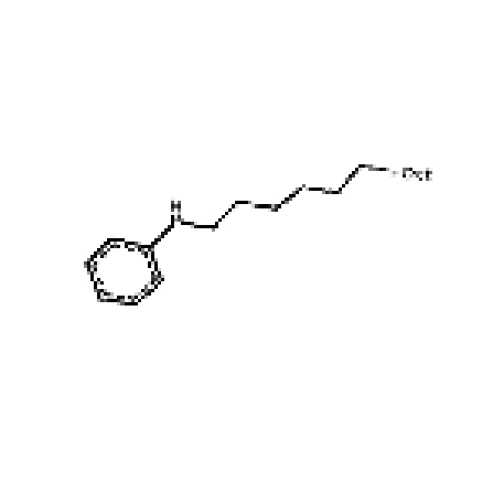 CCCCCCCCCCCCCCPc1ccccc1